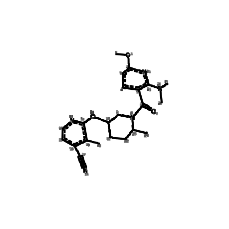 COc1ccc(C(=O)N2CC(Oc3nccc(C#N)c3C)CCC2C)c(N(C)C)n1